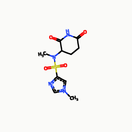 CN(C1CCC(=O)NC1=O)S(=O)(=O)c1cn(C)cn1